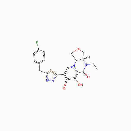 CCN1C(=O)c2c(O)c(=O)c(-c3nnc(Cc4ccc(F)cc4)s3)cn2C2COC[C@@H]21